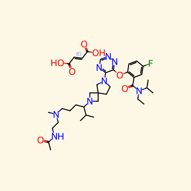 CCN(C(=O)c1cc(F)ccc1Oc1nncnc1N1CCC2(C1)CN(C(CCCN(C)CCNC(C)=O)C(C)C)C2)C(C)C.O=C(O)/C=C/C(=O)O